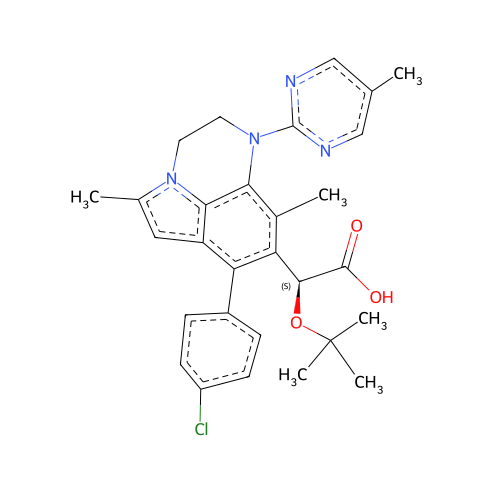 Cc1cnc(N2CCn3c(C)cc4c(-c5ccc(Cl)cc5)c([C@H](OC(C)(C)C)C(=O)O)c(C)c2c43)nc1